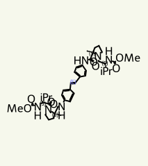 COC(=O)N[C@H](C(=O)N1CCC[C@@]1(C)C(=O)Nc1ccc(/C=C/c2ccc(NC(=O)[C@]3(C)CCCN3C(=O)[C@@H](NC(=O)OC)C(C)C)cc2)cc1)C(C)C